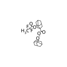 CC(F)(F)C(=O)OC12CC3CC(C1)CC(C(=O)OCOC14CC5CC(CC(C5)C1)C4)(C3)C2